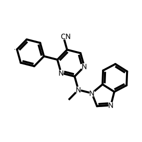 CN(c1ncc(C#N)c(-c2cc[c]cc2)n1)n1cnc2ccccc21